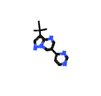 CC(C)(C)c1cnn2cc(-c3ccncn3)cnc12